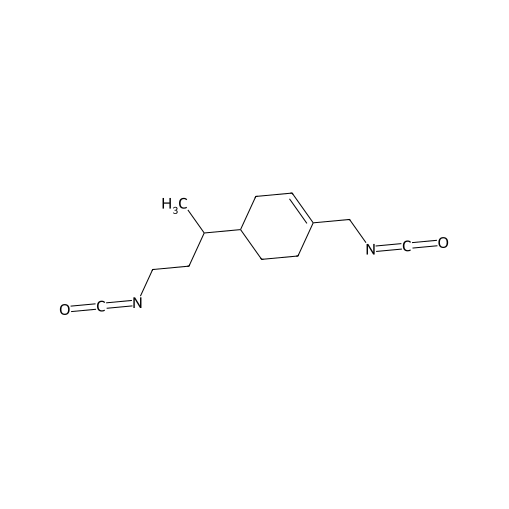 CC(CCN=C=O)C1CC=C(CN=C=O)CC1